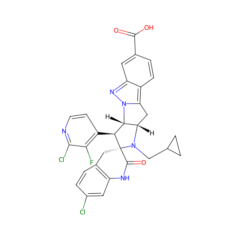 O=C(O)c1ccc2c3n(nc2c1)[C@@H]1[C@H](C3)N(CC2CC2)[C@]2(Cc3ccc(Cl)cc3NC2=O)[C@H]1c1ccnc(Cl)c1F